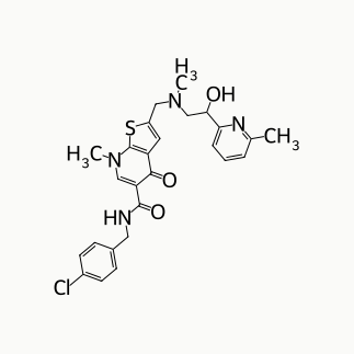 Cc1cccc(C(O)CN(C)Cc2cc3c(=O)c(C(=O)NCc4ccc(Cl)cc4)cn(C)c3s2)n1